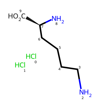 Cl.Cl.NCCCC[C@H](N)[13C](=O)O